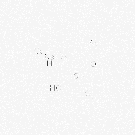 CC(=O)OS(=O)(=O)O.[Cu].[NaH]